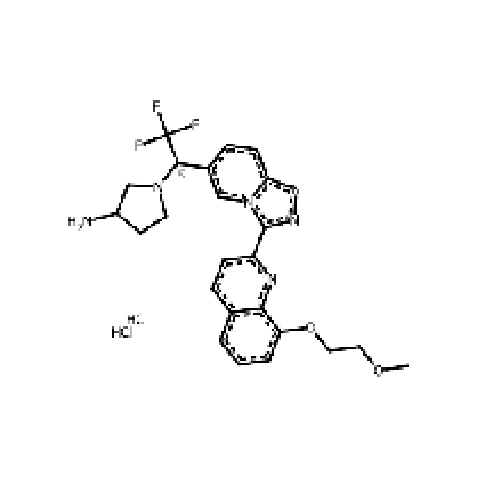 COCCOc1cccc2ccc(-c3nnc4ccc([C@@H](N5CCC(N)C5)C(F)(F)F)cn34)nc12.Cl.Cl